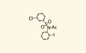 CC(=O)N(c1ccccc1I)S(=O)(=O)c1cccc(Cl)c1